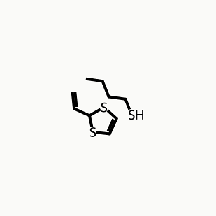 C=CC1SC=CS1.CCCCS